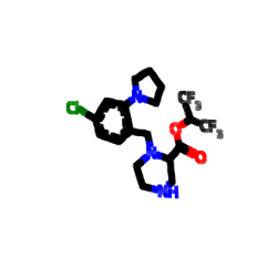 O=C(OC(C(F)(F)F)C(F)(F)F)C1CNCCN1Cc1ccc(Cl)cc1N1CCCC1